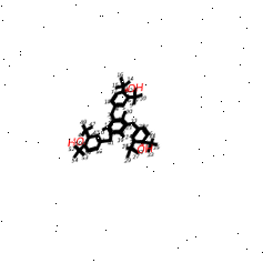 Cc1c(CC2=CC(C(C)(C)C)C(O)(C(C)(C)C)C=C2)c(C)c(CC2=CC(C(C)(C)C)C(O)(C(C)(C)C)C=C2)c(C)c1CC1=CC(C(C)(C)C)C(O)(C(C)(C)C)C=C1